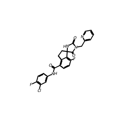 O=C(Nc1ccc(F)c(Cl)c1)c1ccc(F)c2c1CCC21NC(=O)N(Cc2ccccn2)C1=O